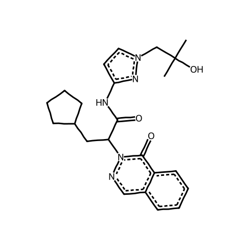 CC(C)(O)Cn1ccc(NC(=O)C(CC2CCCC2)n2ncc3ccccc3c2=O)n1